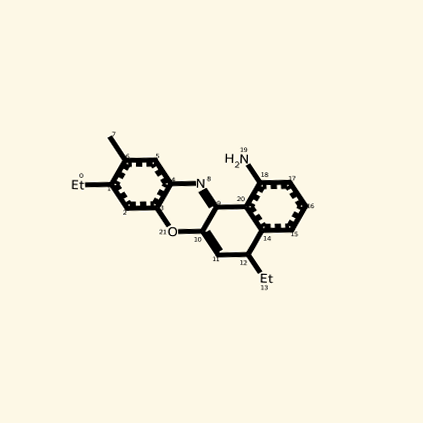 CCc1cc2c(cc1C)N=C1C(=CC(CC)c3cccc(N)c31)O2